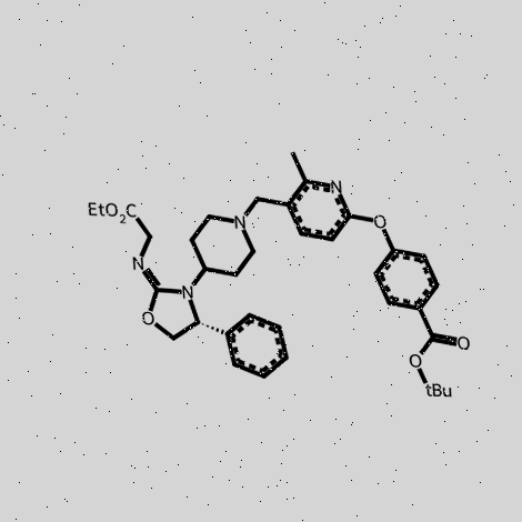 CCOC(=O)CN=C1OC[C@@H](c2ccccc2)N1C1CCN(Cc2ccc(Oc3ccc(C(=O)OC(C)(C)C)cc3)nc2C)CC1